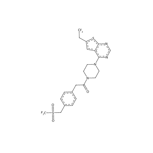 O=C(Cc1ccc(CS(=O)(=O)C(F)(F)F)cc1)N1CCN(c2ncnc3sc(CC(F)(F)F)cc23)CC1